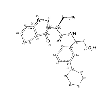 CC(C)C[C@@H](C(=O)NC(CC(=O)O)c1cccc(N2CCCCC2)c1)n1cnc2ccccc2c1=O